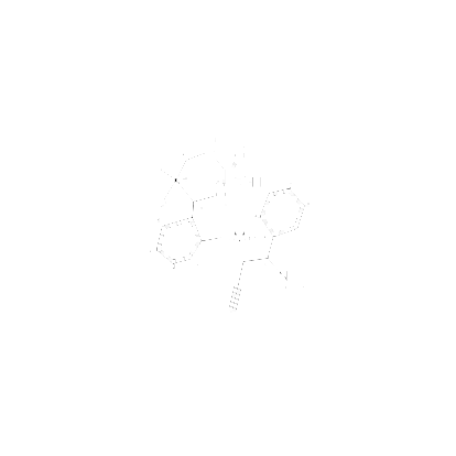 C#CCC(N)c1ccccc1.COc1ccccc1C1OP(=O)(O)OCC1(C)C